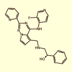 O[C@@H](CNCc1ccn2nc(-c3ccccn3)nc(Nc3ccncc3F)c12)c1ccccc1